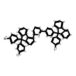 Clc1ccc(C2(c3ccc(-c4cccc(-c5cccc6c5-c5ccccc5C6(c5ccc(Cl)cc5)c5ccc(Br)cc5)n4)cc3)c3ccccc3-c3ccccc32)cc1